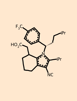 [C-]#[N+]c1c2c(n([C@@H](CCC(C)C)c3ccc(C(F)(F)F)cc3)c1C(C)C)C(CC(=O)O)CCC2